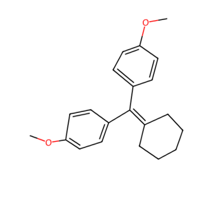 COc1ccc(C(=C2CCCCC2)c2ccc(OC)cc2)cc1